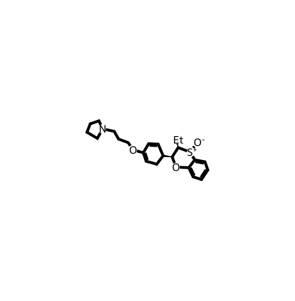 CC[C@H]1[C@H](C2C=CC(OCCCN3CCCC3)=CC2)Oc2ccccc2[S+]1[O-]